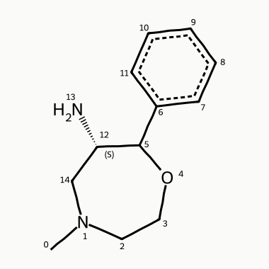 CN1CCOC(c2ccccc2)[C@@H](N)C1